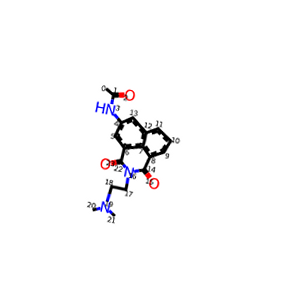 CC(=O)Nc1cc2c3c(cccc3c1)C(=O)N(CCN(C)C)C2=O